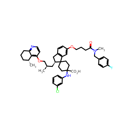 C[C@@H](COc1ccnc2c1[C@H](C)CCC2)C[C@H]1Cc2ccc(OCCCC(=O)N(C)Cc3ccc(F)cc3)cc2C12CCC(Nc1cccc(Cl)c1)(C(=O)O)CC2